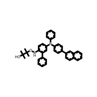 CC(C)(O)C(C)(C)OBc1ccc(N(c2ccccc2)c2ccc(-c3ccc4ccccc4c3)cc2)cc1-c1ccccc1